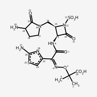 CC(C)(O/N=C(\C(=O)N[C@@H]1C(=O)N(S(=O)(=O)O)[C@@H]1CN1CCC(N)C1=O)c1csc(N)n1)C(=O)O